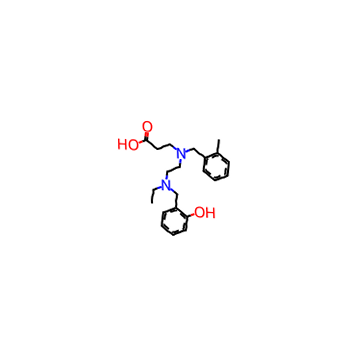 CCN(CCN(CCC(=O)O)Cc1ccccc1C)Cc1ccccc1O